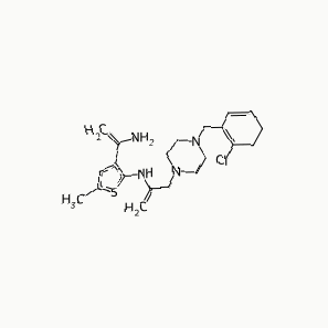 C=C(CN1CCN(CC2=C(Cl)CCC=C2)CC1)Nc1sc(C)cc1C(=C)N